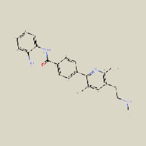 CCNCCc1cc(C#N)c(-c2ccc(C(=O)Nc3ccccc3N)cc2)nc1C